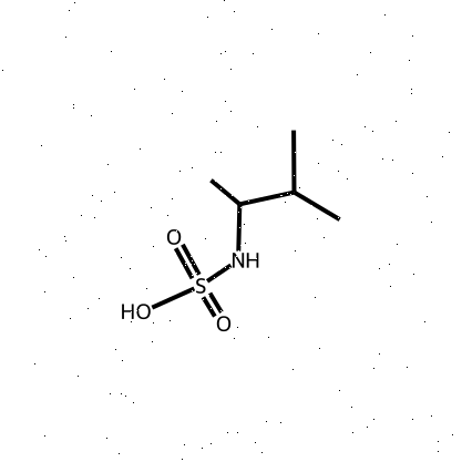 CC(C)C(C)NS(=O)(=O)O